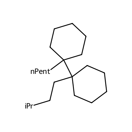 CCCCCC1(C2(CCC(C)C)CCCCC2)CCCCC1